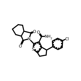 NC(=O)c1c(N2C(=O)C3CCCCC3C2=O)sc2c1C(c1ccc(Cl)cc1)CC2